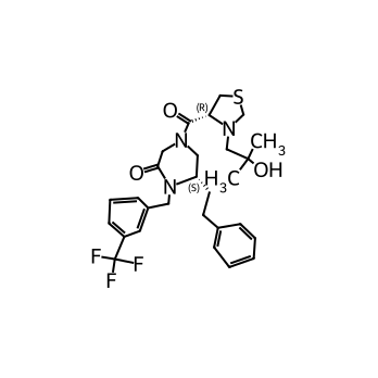 CC(C)(O)CN1CSC[C@H]1C(=O)N1CC(=O)N(Cc2cccc(C(F)(F)F)c2)[C@@H](CCc2ccccc2)C1